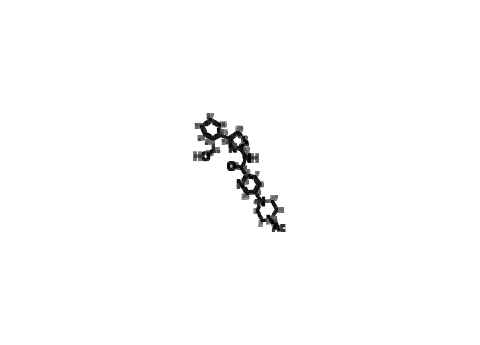 CC(=O)N1CCN(c2ccc(C(=O)Nc3nc(-c4ccccc4CO)cs3)nc2)CC1